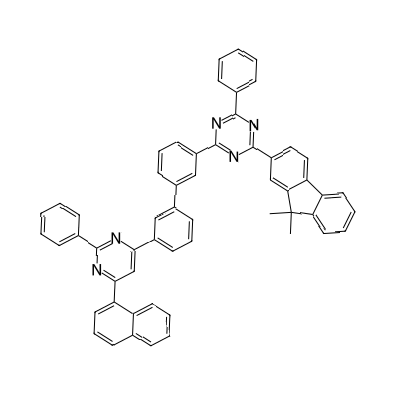 CC1(C)c2ccccc2-c2ccc(-c3nc(-c4ccccc4)nc(-c4cccc(-c5cccc(-c6cc(-c7cccc8ccccc78)nc(-c7ccccc7)n6)c5)c4)n3)cc21